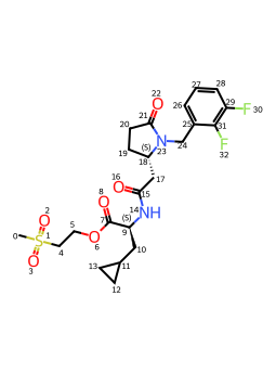 CS(=O)(=O)CCOC(=O)[C@H](CC1CC1)NC(=O)C[C@@H]1CCC(=O)N1Cc1cccc(F)c1F